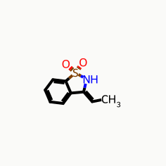 CC=C1NS(=O)(=O)c2ccccc21